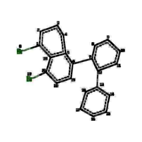 Brc1cccc2c(-c3ccccc3-c3ccccc3)ccc(Br)c12